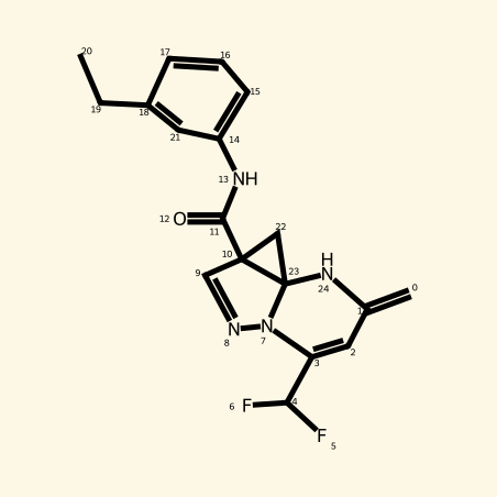 C=C1C=C(C(F)F)N2N=CC3(C(=O)Nc4cccc(CC)c4)CC23N1